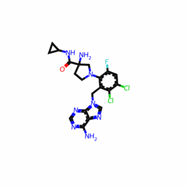 Nc1ncnc2c1ncn2Cc1c(Cl)c(Cl)cc(F)c1N1CCC(N)(C(=O)NC2CC2)C1